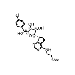 CSCCNc1ncnc2c1ccn2[C@@H]1O[C@H]([C@H](O)c2ccc(Cl)cc2)[C@@H](O)[C@H]1O